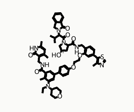 CCN(c1cc(-c2ccc(OCCOc3cc(-c4scnc4C)ccc3CNC(=O)C3C[C@@H](O)CN3C(=O)C(C(C)C)N3Cc4ccccc4C3=O)cc2)cc(C(=O)NCc2c(C)cc(C)[nH]c2=O)c1C)C1CCOCC1